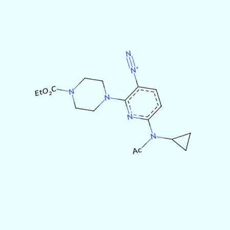 CCOC(=O)N1CCN(c2nc(N(C(C)=O)C3CC3)ccc2[N+]#N)CC1